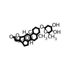 C[C@H]1O[C@@H](O[C@H]2CC[C@]3(C)C4CC5C6OC(=O)C=C6C6CC[C@](O)([C@@H]4CC[C@]3(C)C2)[C@@]65C)C[C@H](O)[C@@H]1O